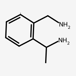 CC(N)c1ccc[c]c1CN